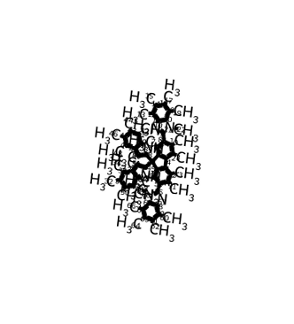 Cc1c(C)c2c(c(C)c1-c1nc3c(C)c(C)c(C)c(C)c3n1C)C(c1[nH]c3c(C)c(C)c(C)c(C)c3c1C)(c1[nH]c3c(C)c(C)c(C)c(C)c3c1C)c1c(C)c(-c3nc4c(C)c(C)c(C)c(C)c4n3C)c(C)c(C)c1-2